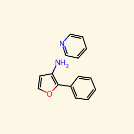 Nc1ccoc1-c1ccccc1.c1ccncc1